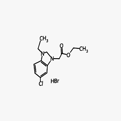 Br.CCOC(=O)CN1CN(CC)c2ccc(Cl)cc21